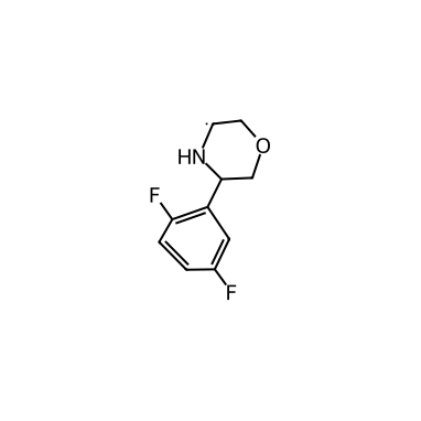 Fc1ccc(F)c(C2COC[CH]N2)c1